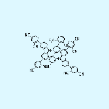 N#Cc1ccc(-c2ccc3c(c2)c2cc(-c4ccc(C#N)cc4C#N)ccc2n3-c2cc(C#N)ccc2-c2ccc(-c3c(C(F)(F)F)cccc3C(F)(F)F)cc2-n2c3ccc(-c4ccc(C#N)cc4C#N)cc3c3cc(-c4ccc(C#N)cc4C#N)ccc32)c(C#N)c1